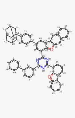 c1ccc(-c2cccc(-c3nc(-c4cccc5c4oc4ccccc45)nc(-c4cc(-c5ccc(C67CC8CC(CC(C8)C6)C7)cc5)cc5c4oc4cc6ccccc6cc45)n3)c2)cc1